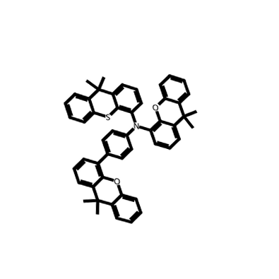 CC1(C)c2ccccc2Oc2c(-c3ccc(N(c4cccc5c4Oc4ccccc4C5(C)C)c4cccc5c4Sc4ccccc4C5(C)C)cc3)cccc21